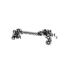 NC(=O)c1c(-c2ccc(Oc3ccccc3)cc2)nn2c1NCCC2C1CCN(CCCCCCCCCCCCSc2cccc3c2CN(C2CCC(=O)NC2=O)C3=O)CC1